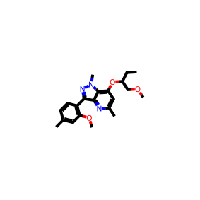 CCC(COC)Oc1cc(C)nc2c(-c3ccc(C)cc3OC)nn(C)c12